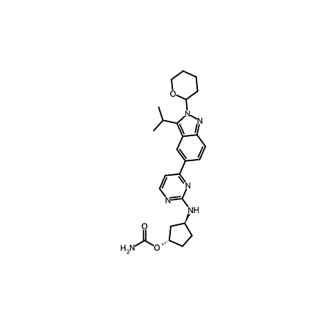 CC(C)c1c2cc(-c3ccnc(N[C@H]4CC[C@H](OC(N)=O)C4)n3)ccc2nn1C1CCCCO1